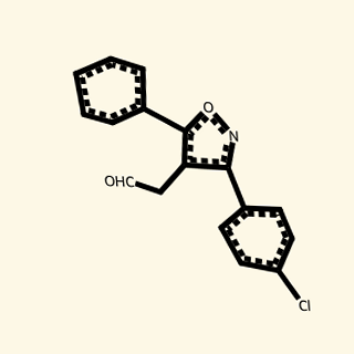 O=CCc1c(-c2ccc(Cl)cc2)noc1-c1ccccc1